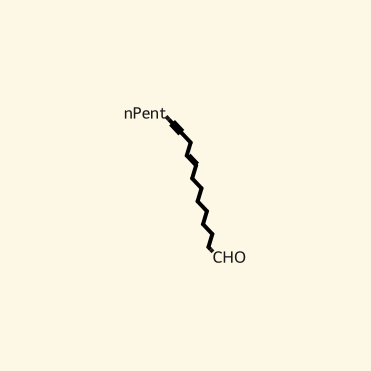 CCCCCC#CCC=CCCCCCCCC=O